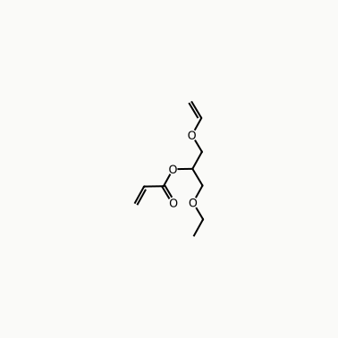 C=COCC(COCC)OC(=O)C=C